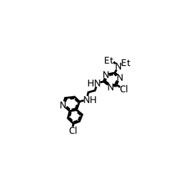 CCN(CC)c1nc(Cl)nc(NCCNc2ccnc3cc(Cl)ccc23)n1